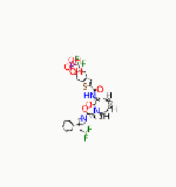 O=C(N[C@H]1C[C@H]2C[C@H]2C[C@H]2CC[C@@H](C(=O)N3CC(CC(F)F)(c4ccccc4)C3)N2C1=O)c1cc2cc(C(F)(F)P(=O)(O)O)ccc2s1